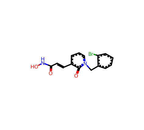 O=C(/C=C/c1cccn(Cc2ccccc2Br)c1=O)NO